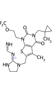 COCCn1c(=O)n(CC2(C)CC2)c(=O)c2c(C)c(CN3CCN/C3=N\C=N)sc21